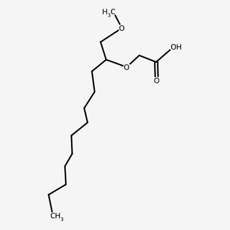 CCCCCCCCCCC(COC)OCC(=O)O